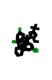 Cl.Cl.[CH2]=[Zr]([C]1=CC(C(C)(C)C)=CC1CC)([c]1cccc(Cl)c1)([c]1cccc(Cl)c1)[c]1cccc2c1Cc1ccccc1-2